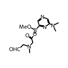 COB(OC(=O)CN(C)CC=O)c1cncc(N(C)C)n1